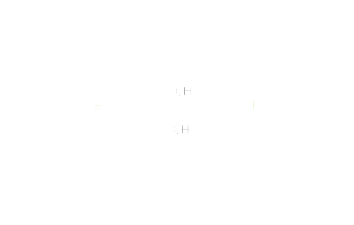 CC(C)(c1ccc(F)cc1)c1ccc(F)cc1